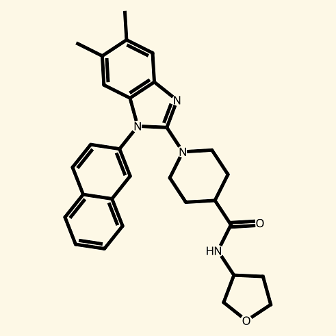 Cc1cc2nc(N3CCC(C(=O)NC4CCOC4)CC3)n(-c3ccc4ccccc4c3)c2cc1C